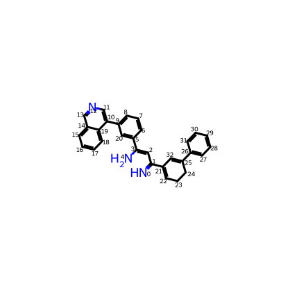 N=C(/C=C(\N)c1cccc(-c2cncc3ccccc23)c1)C1=CCCC(c2ccccc2)=C1